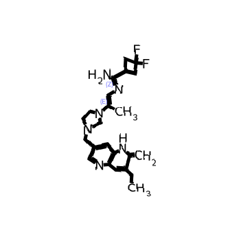 C=C1Nc2cc(CN3CCN(/C(C)=C/N=C(\N)C4CC(F)(F)C4)C3)cnc2C=C1CC